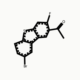 CC(=O)c1cc2c(cc1F)sc1ccc(Br)cc12